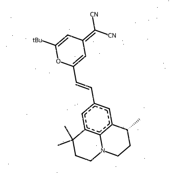 C[C@@H]1CCN2CCC(C)(C)c3cc(/C=C/C4=CC(=C(C#N)C#N)C=C(C(C)(C)C)O4)cc1c32